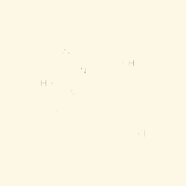 C=Cc1cc(Cl)ccc1S(C)(=O)=NC(C)=O